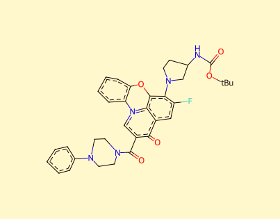 CC(C)(C)OC(=O)NC1CCN(c2c(F)cc3c(=O)c(C(=O)N4CCN(c5ccccc5)CC4)cn4c3c2Oc2ccccc2-4)C1